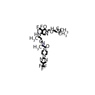 C/C(=N\OCC(C)Nc1cnn(COCC[Si](C)(C)C)c(=O)c1C(F)(F)F)C(=O)N1CCN(c2ncc(C(F)(F)F)cn2)CC1